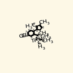 CC1=CCC(c2ccccc2C(C)[N]([Ti+2])C(C)(C)C)=C1C.[Cl-].[Cl-]